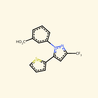 O=C(O)c1cccc(-n2nc(C(F)(F)F)cc2-c2cccs2)c1